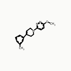 COc1ccc(N2CC=C(c3cccc(C)c3)CC2)nn1